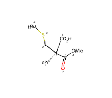 CCC[C@](CSC(C)(C)C)(C(=O)O)C(=O)OC